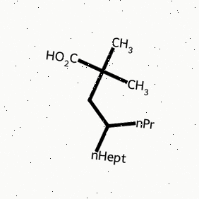 CCCCCCCC(CCC)CC(C)(C)C(=O)O